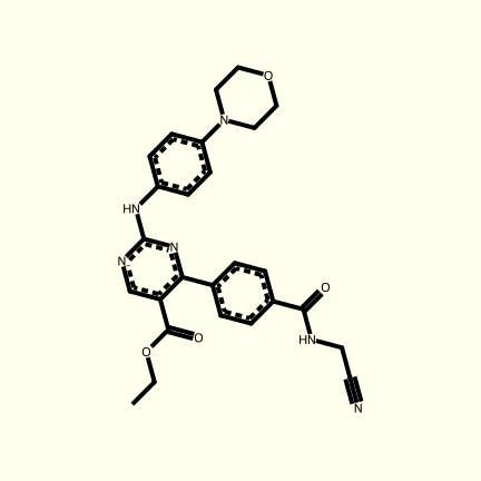 CCOC(=O)c1cnc(Nc2ccc(N3CCOCC3)cc2)nc1-c1ccc(C(=O)NCC#N)cc1